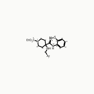 CCOC(=O)N1CCC(NCC(C)=O)(C(=O)Nc2ccccc2OC)CC1